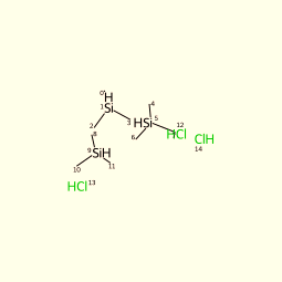 C[SiH](C)C.C[SiH](C)C.C[SiH](C)C.Cl.Cl.Cl